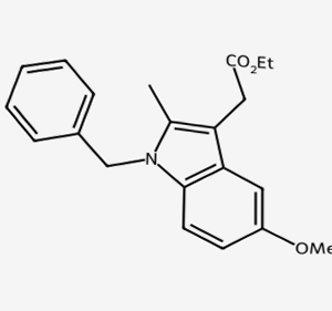 CCOC(=O)Cc1c(C)n(Cc2ccccc2)c2ccc(OC)cc12